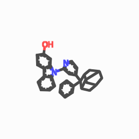 Oc1ccc2c3ccccc3n(-c3cc(C4(c5ccccc5)C5CC6CC(C5)CC4C6)ccn3)c2c1